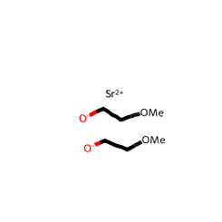 COCC[O-].COCC[O-].[Sr+2]